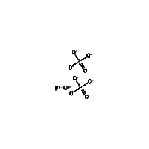 O=P([O-])([O-])[O-].O=P([O-])([O-])[O-].[Al+3].[P+3]